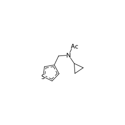 CC(=O)N(Cc1ccsc1)C1CC1